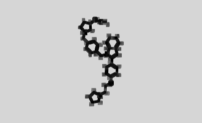 COC1CCN(Cc2ccc(Cn3c(-c4ccc(OCCN5CCCC5)cc4)cc4ccccc43)cc2)C1